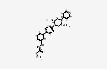 C[C@@H]1CN(c2ncc(-c3cccc(CNC(=O)CN)c3)cn2)[C@@H](C)CN1c1ccncc1